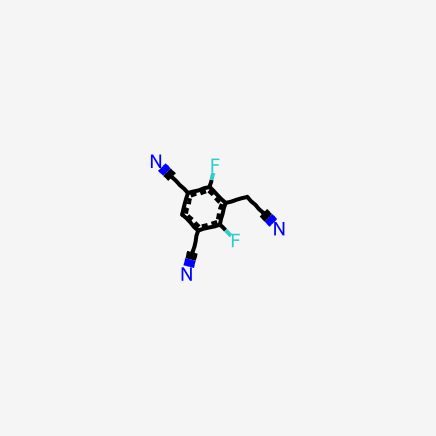 N#CCc1c(F)c(C#N)cc(C#N)c1F